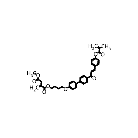 C=C(C)C(=O)Oc1ccc(/C=C/C(=O)c2ccc(-c3ccc(OCCCCOC(=O)C(=C)CC(=O)OC)cc3)cc2)cc1